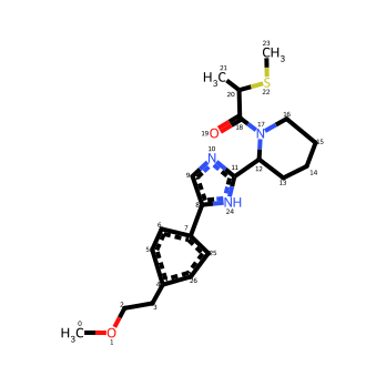 COCCc1ccc(-c2cnc(C3CCCCN3C(=O)C(C)SC)[nH]2)cc1